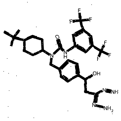 CC(C)(C)C1CCC(N(Cc2ccc(C(O)C/C(N=N)=N/N)cc2)C(=O)Nc2cc(C(F)(F)F)cc(C(F)(F)F)c2)CC1